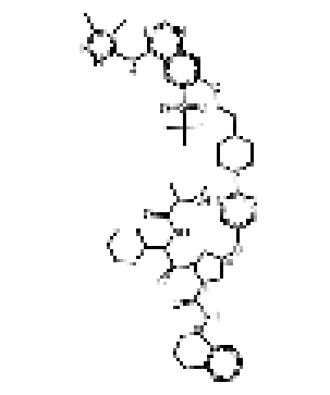 CNC(C)C(=O)NC(C(=O)N1C[C@@H](Oc2cnc(N3CCC(CCOc4cc5ncnc(Nc6n[nH]c(C)c6C)c5cc4S(=O)(=O)C(C)(C)C)CC3)nc2)C[C@H]1C(=O)N[C@@H]1CCCc2ccccc21)C1CCCCC1